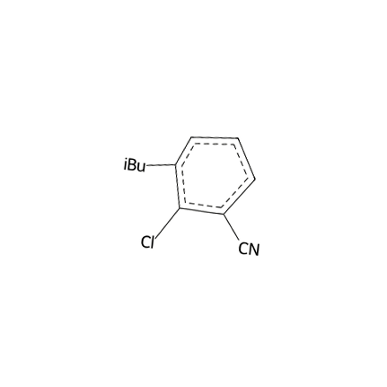 CCC(C)c1cccc(C#N)c1Cl